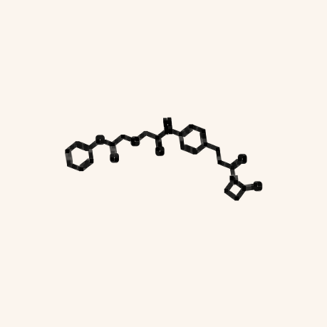 O=C(COCC(=O)Oc1ccccc1)Nc1ccc(CCC(=O)N2CCC2=O)cc1